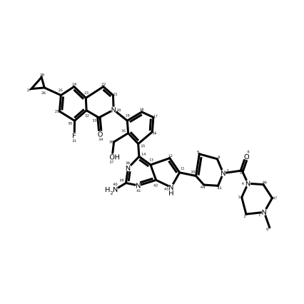 CN1CCN(C(=O)N2CC=C(c3cc4c(-c5cccc(-n6ccc7cc(C8CC8)cc(F)c7c6=O)c5CO)nc(N)nc4[nH]3)CC2)CC1